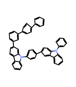 c1ccc(-c2ccc(-c3cccc(-c4ccc5c6ccccc6n(-c6ccc(-c7ccc8c(c7)c7ccccc7n8-c7ccccc7)cc6)c5c4)c3)cc2)cc1